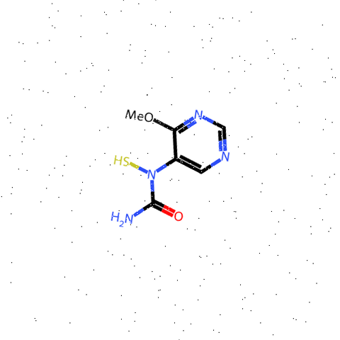 COc1ncncc1N(S)C(N)=O